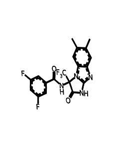 Cc1cc2nc3n(c2cc1C)C(NC(=O)c1cc(F)cc(F)c1)(C(F)(F)F)C(=O)N3